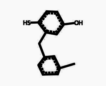 Cc1cccc(Cc2cc(O)ccc2S)c1